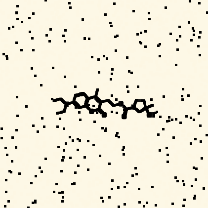 CCN(CC)c1ccc2c(C)c(CCOC(=O)N3CCC(C)(O)C3)c(=O)oc2c1